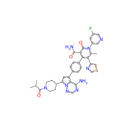 Cc1c(-c2cscn2)c(-c2ccc(-c3cc(C4CCN(C(=O)C(C)C)CC4)n4ncnc(N)c34)cc2)c(C(N)=O)c(=O)n1-c1cncc(F)c1